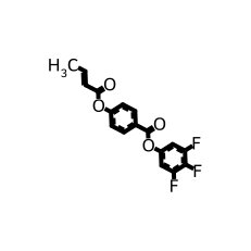 CC=CC(=O)Oc1ccc(C(=O)Oc2cc(F)c(F)c(F)c2)cc1